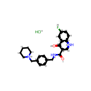 Cl.O=C(NCc1ccc(CN2CCCCC2)cc1)c1c[nH]c2ccc(F)cc2c1=O